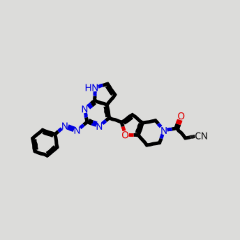 N#CCC(=O)N1CCc2oc(-c3nc(N=Nc4ccccc4)nc4[nH]ccc34)cc2C1